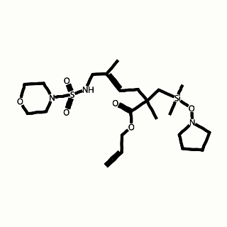 C=CCOC(=O)C(C)(CC=C(C)CNS(=O)(=O)N1CCOCC1)C[Si](C)(C)ON1CCCC1